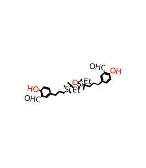 CCC(C)(O[Si](C)(C)C(C)(CC)CCCc1ccc(O)c(C=O)c1)[Si](C)(C)CCCc1ccc(O)c(C=O)c1